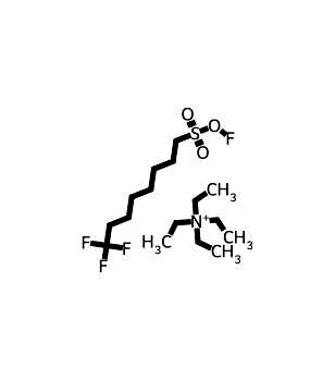 CC[N+](CC)(CC)CC.O=S(=O)(CCCCCCCC(F)(F)F)OF